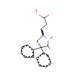 CCOC(O)C/C=C1/CC(c2ccccc2)(c2ccccc2)C(C)N1C